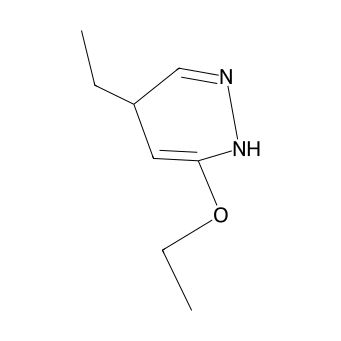 CCOC1=CC(CC)C=NN1